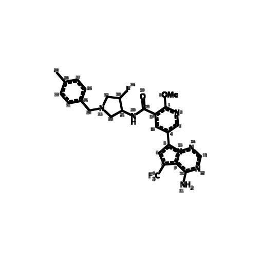 COc1ncc(-c2cc(C(F)(F)F)c3c(N)ncnn23)cc1C(=O)NC1CN(Cc2ccc(C)cc2)CC1F